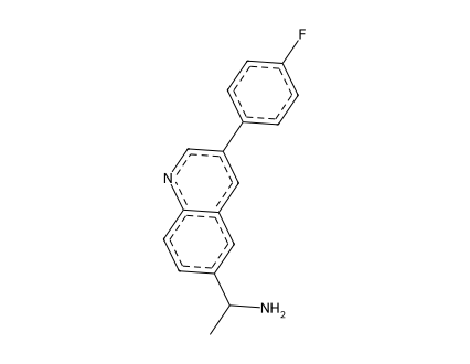 CC(N)c1ccc2ncc(-c3ccc(F)cc3)cc2c1